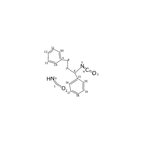 N=C=O.O=C=NC(CCc1ccccc1)c1ccccc1